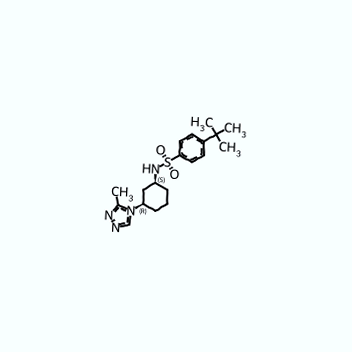 Cc1nncn1[C@@H]1CCC[C@H](NS(=O)(=O)c2ccc(C(C)(C)C)cc2)C1